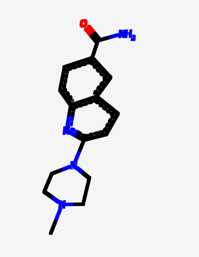 CN1CCN(c2ccc3cc(C(N)=O)ccc3n2)CC1